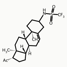 CC(=O)[C@H]1CC[C@H]2[C@@H]3CC=C4CC(NS(=O)(=O)C(F)(F)F)CC[C@]4(C)[C@H]3CC[C@]12C